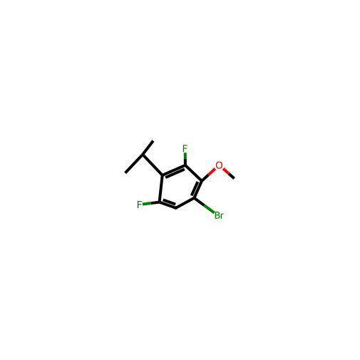 COc1c(Br)cc(F)c(C(C)C)c1F